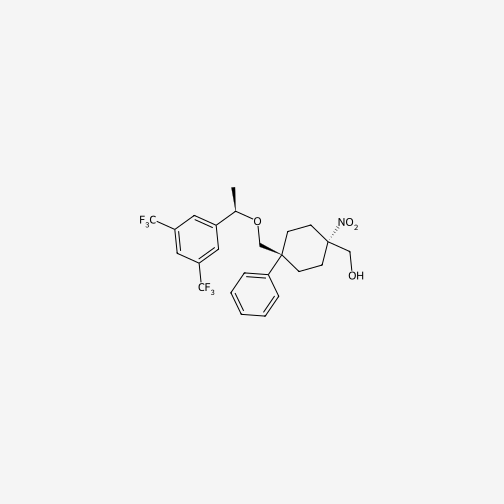 C[C@@H](OC[C@]1(c2ccccc2)CC[C@@](CO)([N+](=O)[O-])CC1)c1cc(C(F)(F)F)cc(C(F)(F)F)c1